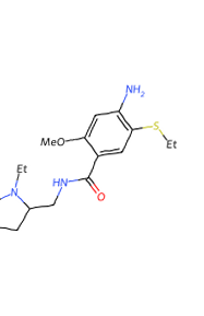 CCSc1cc(C(=O)NCC2CCCN2CC)c(OC)cc1N